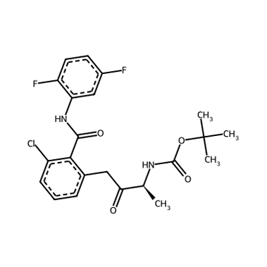 C[C@H](NC(=O)OC(C)(C)C)C(=O)Cc1cccc(Cl)c1C(=O)Nc1cc(F)ccc1F